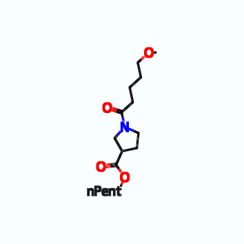 CCCCCOC(=O)C1CCN(C(=O)CCCC[O])C1